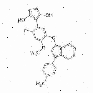 COc1cc(F)c(-c2c(O)csc2O)cc1Oc1cn(-c2ccc(C)cc2)c2ccccc12